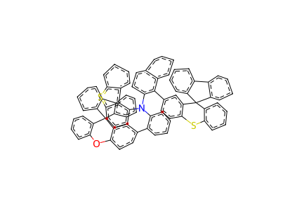 c1ccc2c(c1)Oc1ccc(-c3ccccc3N(c3ccc4ccccc4c3-c3ccc4c(c3)C3(c5ccccc5S4)c4ccccc4-c4ccccc43)c3cccc4sc5ccccc5c34)cc1C21c2ccccc2-c2ccccc21